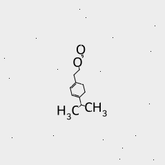 CC(C)C1=CC=C(CCOC=O)CC1